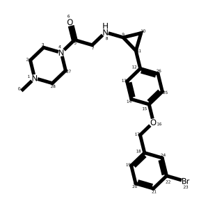 CN1CCN(C(=O)CNC2CC2c2ccc(OCc3cccc(Br)c3)cc2)CC1